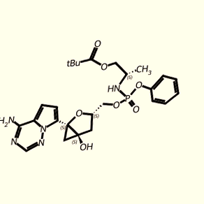 C[C@@H](COC(=O)C(C)(C)C)NP(=O)(OC[C@@H]1C[C@]2(O)C[C@@]2(c2ccc3c(N)ncnn23)O1)Oc1ccccc1